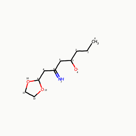 CCCC([O])CC(=N)CC1OCCO1